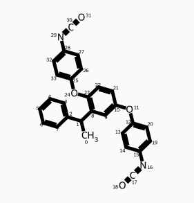 CC(c1ccccc1)c1cc(Oc2ccc(N=C=O)cc2)ccc1Oc1ccc(N=C=O)cc1